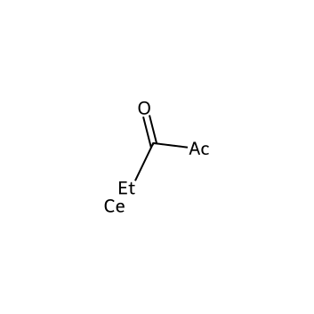 CCC(=O)C(C)=O.[Ce]